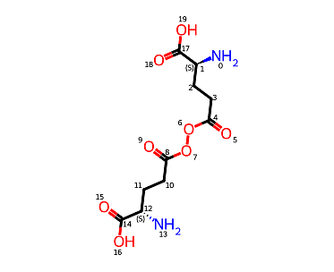 N[C@@H](CCC(=O)OOC(=O)CC[C@H](N)C(=O)O)C(=O)O